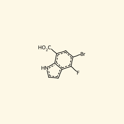 O=C(O)c1cc(Br)c(F)c2cc[nH]c12